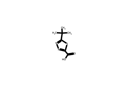 CC(C)(C)c1nnc(C(=O)O)s1